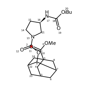 COC(=O)C12CC3CC(C1)C(OC(=O)N1CC[C@@H](NC(=O)OCC(C)C)C1)C(C3)C2